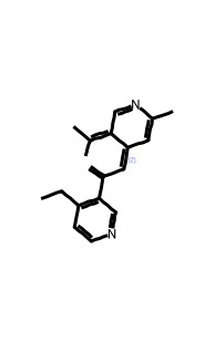 C=C(/C=c1/cc(C)ncc1=C(C)C)c1cnccc1CC